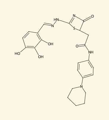 O=C(CC1SC(N/N=C/c2ccc(O)c(O)c2O)=NC1=O)Nc1ccc(N2CCCCC2)cc1